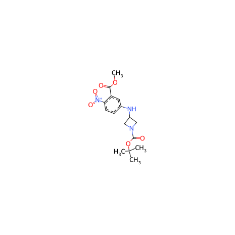 COC(=O)c1cc(NC2CN(C(=O)OC(C)(C)C)C2)ccc1[N+](=O)[O-]